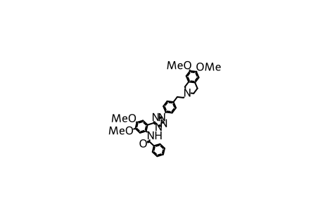 COc1cc2c(cc1OC)CN(CCc1ccc(-n3nnc(-c4cc(OC)c(OC)cc4NC(=O)c4ccccc4)n3)cc1)CC2